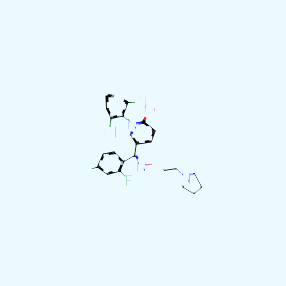 O=c1ccc(/C(=N\OCCN2CCCC2)c2ccc(F)cc2F)cn1-c1c(Cl)cccc1Cl